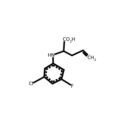 C=CCC(Nc1cc(F)cc(Cl)c1)C(=O)O